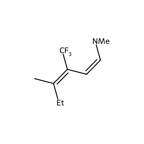 CC/C(C)=C(\C=C/NC)C(F)(F)F